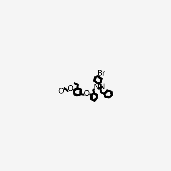 CCc1cc(COc2ccccc2Cn2c(Cc3ccccc3)nc3cc(Br)ccc32)ccc1OCC=O